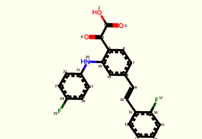 O=C(O)C(=O)c1ccc(/C=C/c2ccccc2F)cc1Nc1ccc(F)cc1